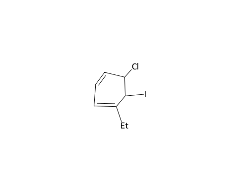 CCC1=CC=CC(Cl)C1I